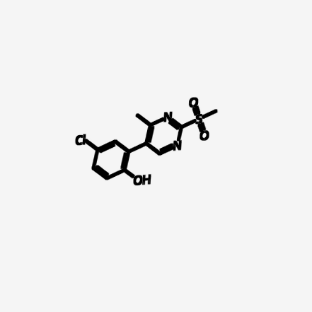 Cc1nc(S(C)(=O)=O)ncc1-c1cc(Cl)ccc1O